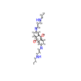 CCCNCC=CN=C1C=C2C(=O)C3=CCC(=NC=CCNCCC)C=C3C(=O)C2=CC1